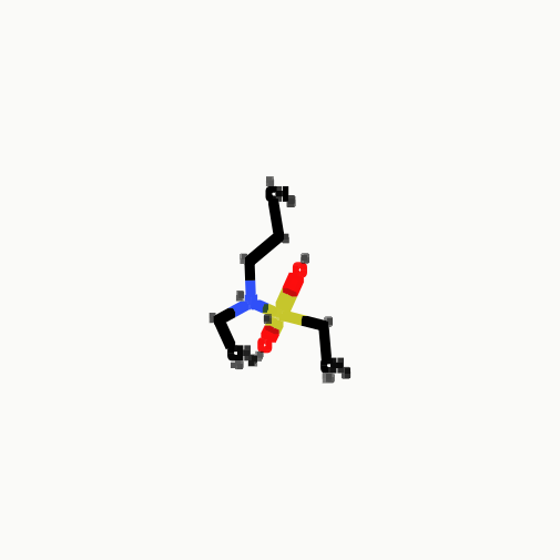 [CH2]CN(CCC)S(=O)(=O)CC